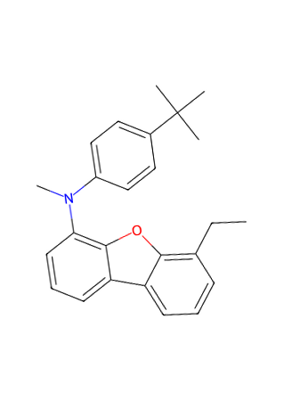 CCc1cccc2c1oc1c(N(C)c3ccc(C(C)(C)C)cc3)cccc12